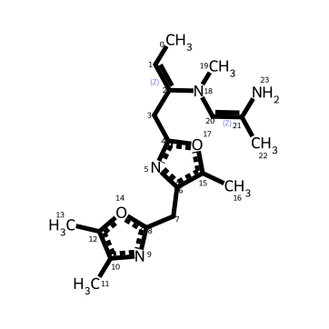 C/C=C(/Cc1nc(Cc2nc(C)c(C)o2)c(C)o1)N(C)/C=C(/C)N